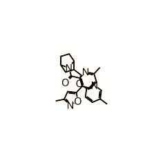 Cc1ccc(OCC2CC3CCC2N3C(=O)c2nc(C)ccc2-c2cc(C)no2)nc1